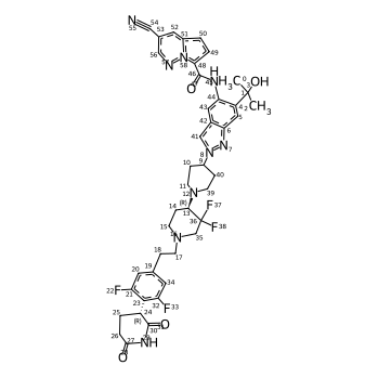 CC(C)(O)c1cc2nn(C3CCN([C@@H]4CCN(CCc5cc(F)c([C@H]6CCC(=O)NC6=O)c(F)c5)CC4(F)F)CC3)cc2cc1NC(=O)c1ccc2cc(C#N)cnn12